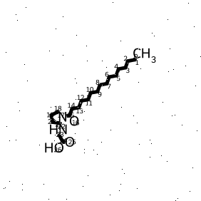 CCCCCCCCCCCCCCCC(=O)N1CCCC1NCC(=O)O